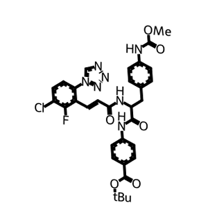 COC(=O)Nc1ccc(CC(NC(=O)/C=C/c2c(-n3cnnn3)ccc(Cl)c2F)C(=O)Nc2ccc(C(=O)OC(C)(C)C)cc2)cc1